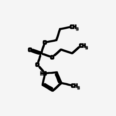 CCCOP(=O)(OCCC)O[SH]1C=CC(C)=C1